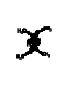 CCCCCCOc1ccc(-c2cc3ccccc3c(-c3c(O)c(-c4ccc(OCCCCCC)cc4OCCCCCC)cc4ccccc34)c2O)c(OCCCCCC)c1